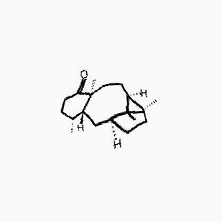 C[C@@H]1CCC(=O)[C@@]2(C)CC[C@H]3[C@H](C)CC[C@@H](C[C@H]12)C3(C)C